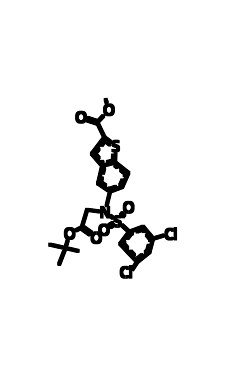 COC(=O)c1cc2cc(N(CC(=O)OC(C)(C)C)S(=O)(=O)c3cc(Cl)cc(Cl)c3)ccc2s1